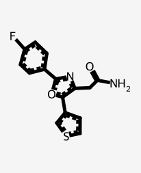 NC(=O)Cc1nc(-c2ccc(F)cc2)oc1-c1ccsc1